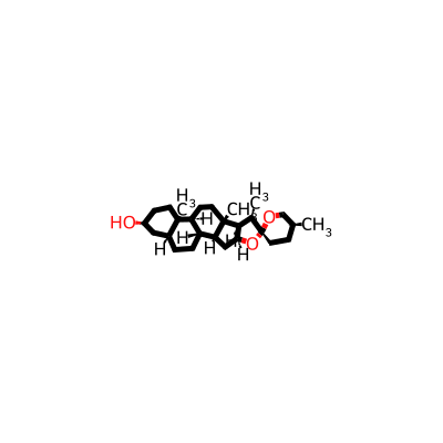 C[C@H]1CC[C@@]2(OC1)O[C@H]1C[C@H]3[C@@H]4CC[C@H]5C[C@@H](O)CC[C@]5(C)[C@H]4CC[C@]3(C)[C@H]1[C@@H]2C